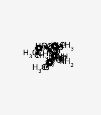 CC(C)(C)c1ccccc1.COc1ccc(-c2nc(NS(N)(=O)=O)c(Oc3ccccc3OC)c(OC[C@H](O)CO)n2)cc1